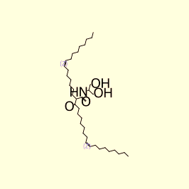 CCCCCCCC/C=C\CCCCCCCC(=O)C(CCCCCC/C=C\CCCCCCCC)C(=O)NC(CO)CO